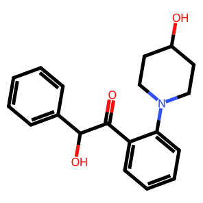 O=C(c1ccccc1N1CCC(O)CC1)C(O)c1ccccc1